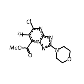 [2H]c1c(Cl)nc2nc(N3CCOCC3)nn2c1C(=O)OC